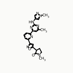 Cc1cc(-c2cccc(-c3cc(C4CCN(C)C4=O)on3)n2)nc(Nc2cnn(C)c2)n1